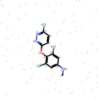 CNc1cc(Cl)c(Oc2ccc(Cl)nn2)c(Cl)c1